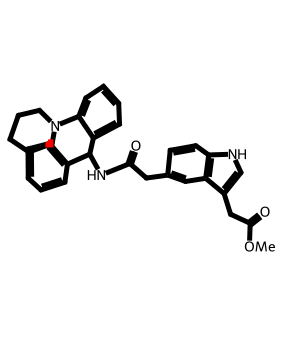 COC(=O)Cc1c[nH]c2ccc(CC(=O)NC(c3ccccc3)c3ccccc3N3CCCCC3)cc12